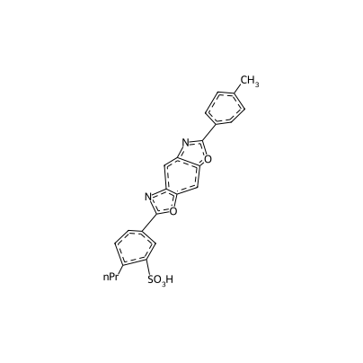 CCCc1ccc(-c2nc3cc4nc(-c5ccc(C)cc5)oc4cc3o2)cc1S(=O)(=O)O